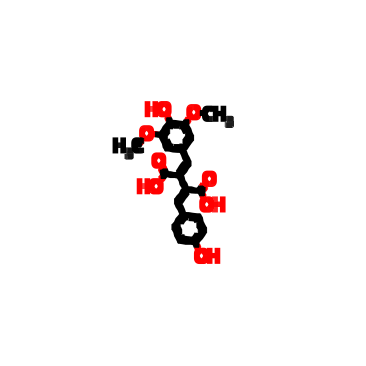 COc1cc(C=C(C(=O)O)C(=Cc2ccc(O)cc2)C(=O)O)cc(OC)c1O